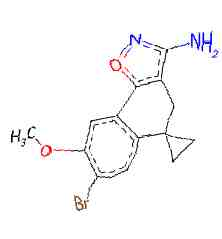 COc1cc2c(cc1Br)C1(CC1)Cc1c(N)noc1-2